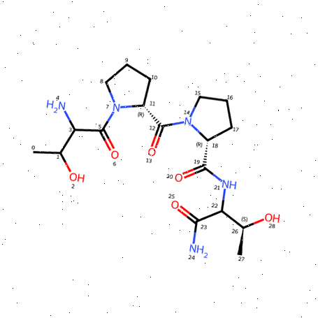 CC(O)C(N)C(=O)N1CCC[C@@H]1C(=O)N1CCC[C@@H]1C(=O)NC(C(N)=O)[C@H](C)O